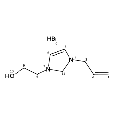 Br.C=CCN1C=CN(CCO)C1